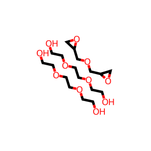 C(OCC1CO1)C1CO1.OCCOCCOCCO.OCCOCCOCCO